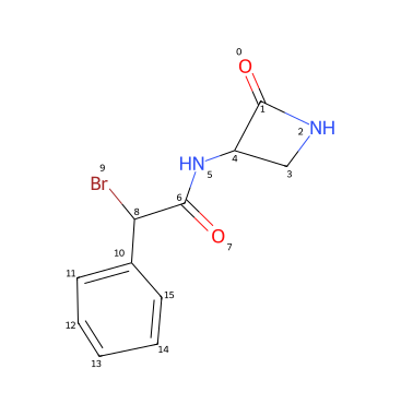 O=C1NCC1NC(=O)C(Br)c1ccccc1